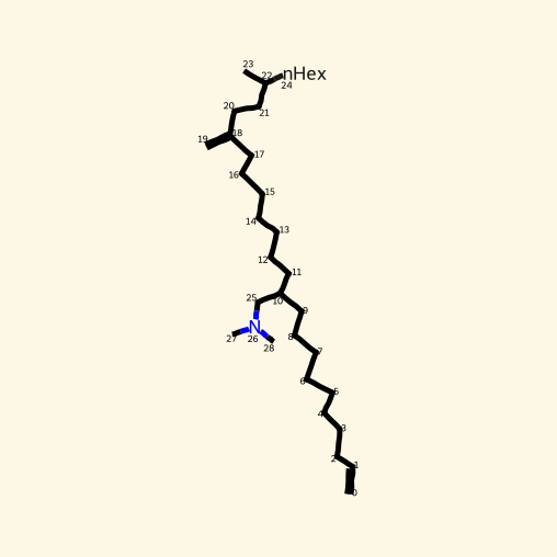 C=CCCCCCCCCC(CCCCCCCC(=C)CCC(C)CCCCCC)CN(C)C